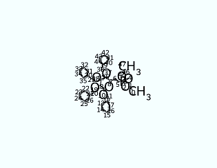 CCOP(=O)(/C=C/[C@H]1OC(OCc2ccccc2)[C@@H](OCc2ccccc2)[C@@H](OCc2ccccc2)[C@@H]1OCc1ccccc1)OCC